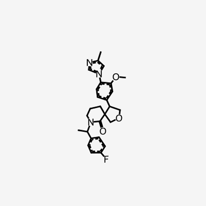 COc1cc(C2COCC23CCCN(C(C)c2ccc(F)cc2)C3=O)ccc1-n1cnc(C)c1